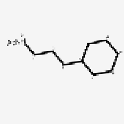 CC(=O)NCCCC1CCCCC1